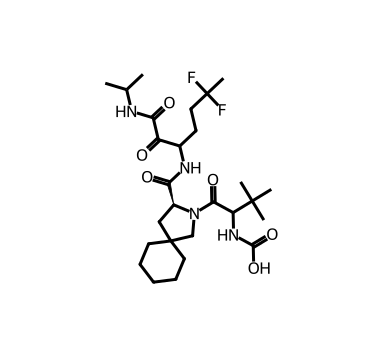 CC(C)NC(=O)C(=O)C(CCC(C)(F)F)NC(=O)[C@@H]1CC2(CCCCC2)CN1C(=O)C(NC(=O)O)C(C)(C)C